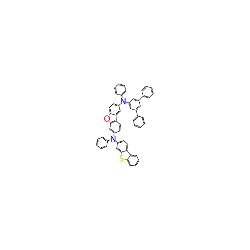 c1ccc(-c2cc(-c3ccccc3)cc(N(c3ccccc3)c3ccc4oc5cc(N(c6ccccc6)c6ccc7c(c6)sc6ccccc67)ccc5c4c3)c2)cc1